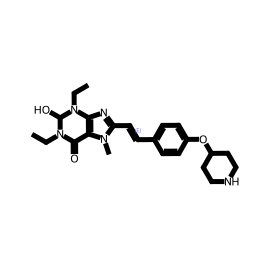 CCN1C(=O)c2c(nc(/C=C/c3ccc(OC4CCNCC4)cc3)n2C)N(CC)C1O